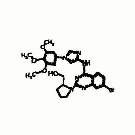 COc1cc(-n2cnc(Nc3nc(N4CCC[C@@H]4CO)nc4cc(Br)ccc34)c2)cc(OC)c1OC